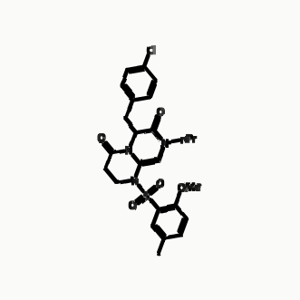 CCCN1C=C2N(C(=O)CCN2S(=O)(=O)c2cc(C)ccc2OC)C(Cc2ccc(Cl)cc2)C1=O